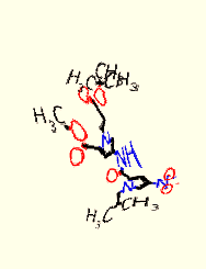 CCOC(=O)c1cc(NC(=O)c2cc([N+](=O)[O-])cn2CC(C)C)cn1CCC(=O)OC(C)(C)C